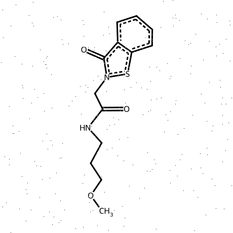 COCCCNC(=O)Cn1sc2ccccc2c1=O